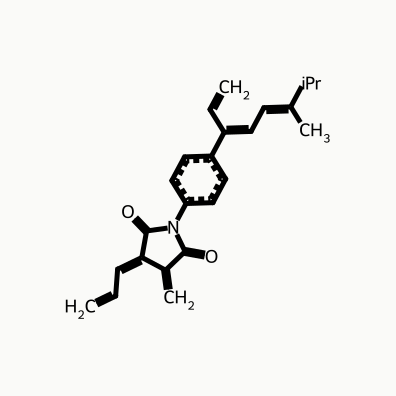 C=C/C=C1\C(=C)C(=O)N(c2ccc(/C(C=C)=C/C=C(\C)C(C)C)cc2)C1=O